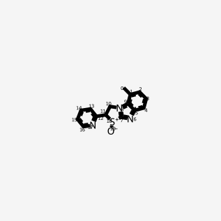 Cc1cccc2nc3n(c12)CC(c1ccccn1)[S+]3[O-]